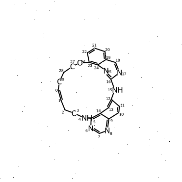 C1=C\CCNc2ncnc3ccc(cc23)Nc2ncc3cccc(c3n2)OCCC/1